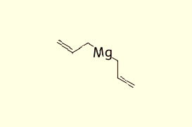 C=C[CH2][Mg][CH2]C=C